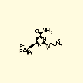 CC(C)[Si](C#Cc1cc(C(N)=O)nc(N(C)CCN(C)C)n1)(C(C)C)C(C)C